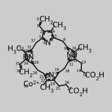 C=Cc1c2[n-]c(c1C)Cc1[nH]c(c(CCC(=O)O)c1C)Cc1[n-]c(c(C)c1CCC(=O)O)Cc1[nH]c(c(C)c1C=C)C2.[Co+2]